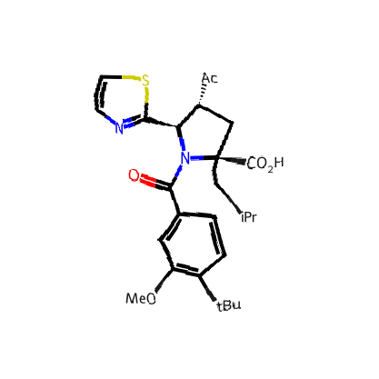 COc1cc(C(=O)N2[C@@H](c3nccs3)[C@H](C(C)=O)C[C@@]2(CC(C)C)C(=O)O)ccc1C(C)(C)C